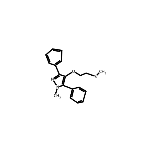 CSCCOc1c(-c2ccccc2)nn(C)c1-c1ccccc1